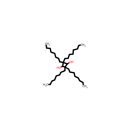 CCCCCCCCC1(CCCCCCCC)C(O)C(CCCCCCCC)(CCCCCCCC)C1O